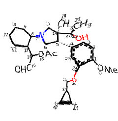 COc1ccc([C@@H]2CN(C3CCCCC3C(C=O)OC(C)=O)C[C@@]2(C)[C@@H](C)O)cc1OCC1CC1